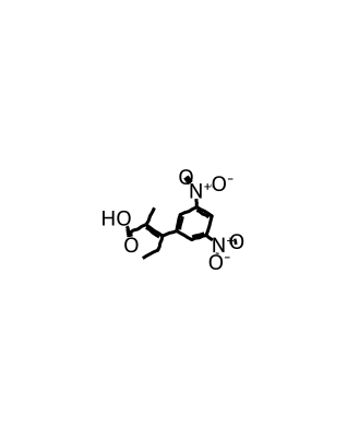 CC/C(=C(/C)C(=O)O)c1cc([N+](=O)[O-])cc([N+](=O)[O-])c1